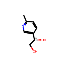 Cc1ccc([C@@H](O)CO)cn1